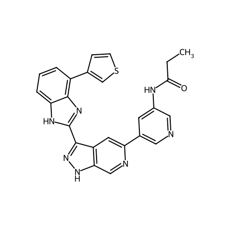 CCC(=O)Nc1cncc(-c2cc3c(-c4nc5c(-c6ccsc6)cccc5[nH]4)n[nH]c3cn2)c1